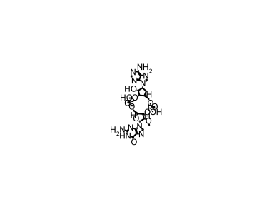 CO[C@H]1[C@H]2OP(=O)(O)OC[C@H]3C[C@@H](n4cnc5c(N)ncnc54)[C@@H](O)C3OP(=O)(O)OC[C@H]2O[C@H]1n1cnc2c(=O)[nH]c(N)nc21